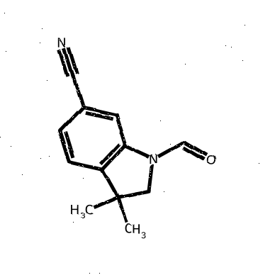 CC1(C)CN(C=O)c2cc(C#N)ccc21